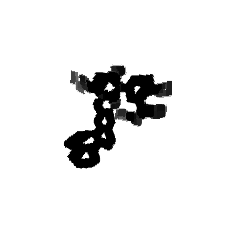 CC(C)OC(=O)c1cc(-n2c(=O)cc(C(F)(F)F)n(Cc3ccc4ccc5c6ccccc6ccc5c4c3)c2=O)ccc1Cl